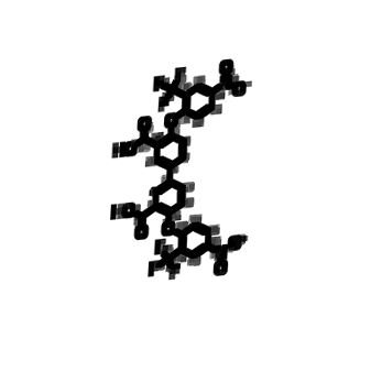 O=C(O)c1cc(-c2ccc(Oc3ccc([N+](=O)[O-])cc3C(F)(F)F)c(C(=O)O)c2)ccc1Oc1ccc([N+](=O)[O-])cc1C(F)(F)F